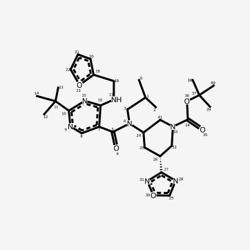 CC(C)CN(C(=O)c1cnc(C(C)(C)C)nc1NCc1ccco1)C1C[C@@H](c2ncon2)CN(C(=O)OC(C)(C)C)C1